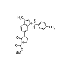 Cc1ccc(S(=O)(=O)n2cc(C)c3ccc(C4CCN(C(=O)OC(C)(C)C)C4=O)cc32)cc1